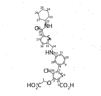 O=C(O)COc1c(C(=O)O)sc(-c2cccc(NCc3ccc(C(=O)NC4CCCCC4)s3)c2)c1Cl